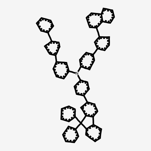 c1ccc(-c2ccc(-c3cccc(N(c4ccc(-c5cccc(-c6cccc7ccccc67)c5)cc4)c4ccc(-c5ccc6c(c5)C(c5ccccc5)(c5ccccc5)c5ccccc5-6)cc4)c3)cc2)cc1